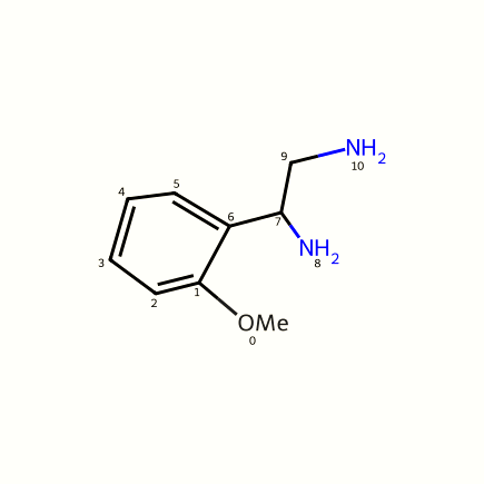 COc1ccccc1C(N)CN